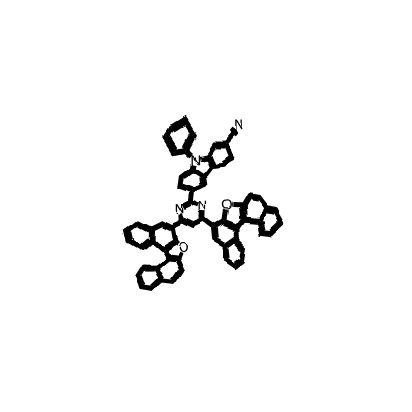 N#Cc1ccc2c3cc(-c4nc(-c5cc6ccccc6c6c5oc5ccc7ccccc7c56)cc(-c5cc6ccccc6c6c5oc5ccc7ccccc7c56)n4)ccc3n(-c3ccccc3)c2c1